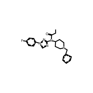 CCC(=O)N(c1ncn(-c2ccc(F)cc2)n1)C1CCN(Cc2ccccc2)CC1